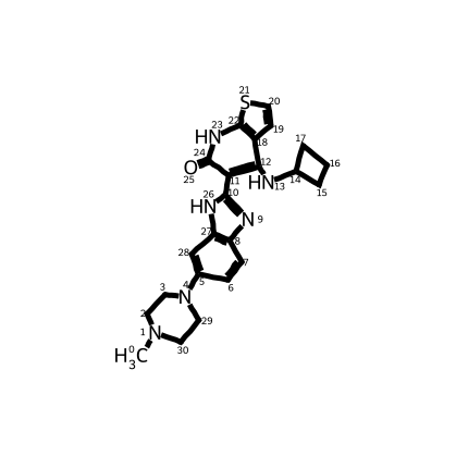 CN1CCN(c2ccc3nc(-c4c(NC5CCC5)c5ccsc5[nH]c4=O)[nH]c3c2)CC1